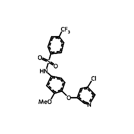 COc1cc(NS(=O)(=O)c2ccc(C(F)(F)F)cc2)ccc1Oc1cncc(Cl)c1